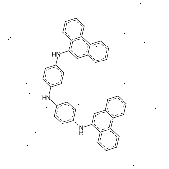 c1ccc2c(c1)cc(Nc1ccc(Nc3ccc(Nc4cc5ccccc5c5ccccc45)cc3)cc1)c1ccccc12